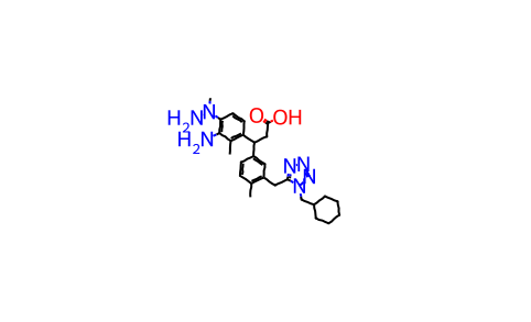 Cc1ccc(C(CC(=O)O)c2ccc(N(C)N)c(N)c2C)cc1Cc1nnnn1CC1CCCCC1